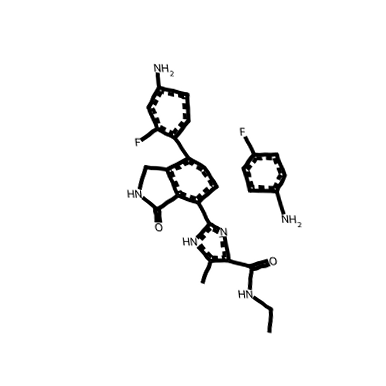 CCNC(=O)c1nc(-c2ccc(-c3ccc(N)cc3F)c3c2C(=O)NC3)[nH]c1C.Nc1ccc(F)cc1